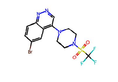 O=S(=O)(N1CCN(c2cnnc3ccc(Br)cc23)CC1)C(F)(F)F